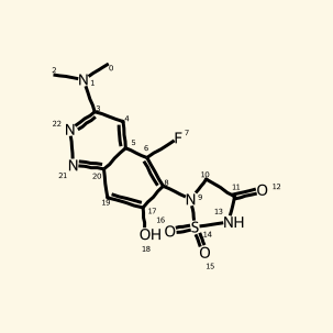 CN(C)c1cc2c(F)c(N3CC(=O)NS3(=O)=O)c(O)cc2nn1